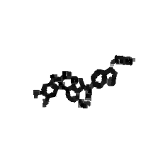 CCc1nc2cc(F)c(F)cc2n1-c1cccc2c1OC[C@H]2Nc1ccc2c(c1)OC[C@H]2CC(=O)[O-].[Na+]